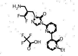 CCn1cccc(-c2cccc(-n3cnn(CC(CN)=C(F)F)c3=O)n2)c1=O.O=C(O)C(F)(F)F